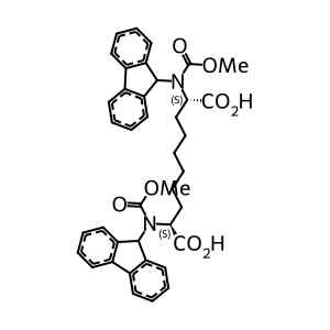 COC(=O)N(C1c2ccccc2-c2ccccc21)[C@@H](CCCCCC[C@@H](C(=O)O)N(C(=O)OC)C1c2ccccc2-c2ccccc21)C(=O)O